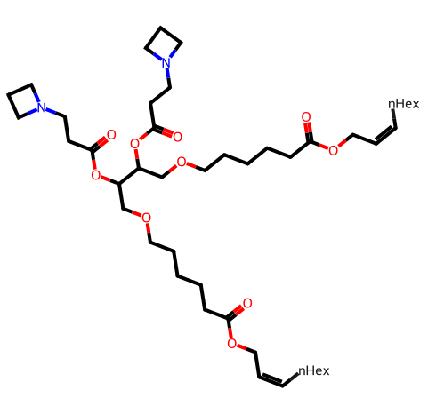 CCCCCC/C=C\COC(=O)CCCCCOCC(OC(=O)CCN1CCC1)C(COCCCCCC(=O)OC/C=C\CCCCCC)OC(=O)CCN1CCC1